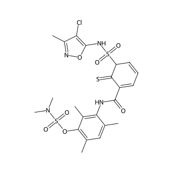 Cc1cc(C)c(OS(=O)(=O)N(C)C)c(C)c1NC(=O)C1=CC=CC(S(=O)(=O)Nc2onc(C)c2Cl)C1=S